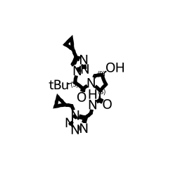 CC(C)(C)[C@@H](C(=O)N1C[C@H](O)C[C@H]1C(=O)NCc1nnnn1CC1CC1)n1cc(C2CC2)nn1